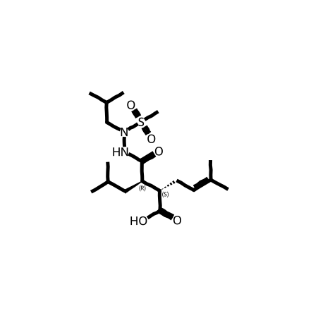 CC(C)=CC[C@H](C(=O)O)[C@@H](CC(C)C)C(=O)NN(CC(C)C)S(C)(=O)=O